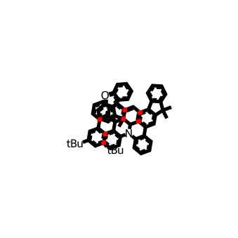 CC(C)(C)c1cc(-c2cccc3cccc(-c4ccccc4N(c4ccccc4-c4ccc5c(c4)C(C)(C)c4ccccc4-5)C4C=CC=CC4(C)c4cccc5oc6ccccc6c45)c23)cc(C(C)(C)C)c1